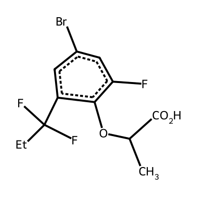 CCC(F)(F)c1cc(Br)cc(F)c1OC(C)C(=O)O